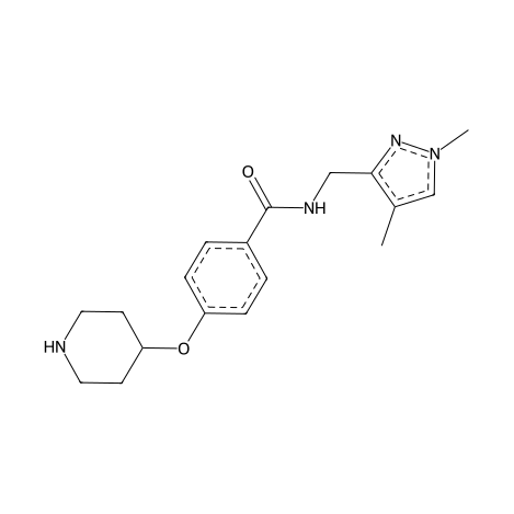 Cc1cn(C)nc1CNC(=O)c1ccc(OC2CCNCC2)cc1